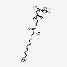 CCCCCCCCCCCC(=O)OCCNC(=O)C[N+](C)(C)C.[Cl-]